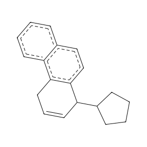 C1=CC(C2CCCC2)c2ccc3ccccc3c2C1